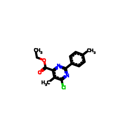 CCOC(=O)c1nc(-c2ccc(C)cc2)nc(Cl)c1C